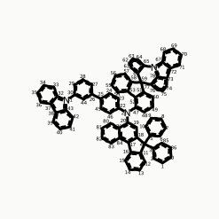 c1ccc(C2(c3ccccc3)c3ccccc3-c3c2cc(N(c2ccc(-c4cccc(-n5c6ccccc6c6ccccc65)c4)cc2)c2cccc4c2-c2ccccc2C42c4ccccc4-n4c5ccccc5c5cccc2c54)c2ccccc32)cc1